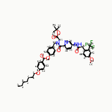 CCCCCCCOc1ccc(C(=O)Oc2ccc(CN(CC(=O)OC(C)(C)C)C(=O)c3ccc(NC(=O)Cc4ccc(OC)cc4C(F)(F)F)cn3)cc2)cc1